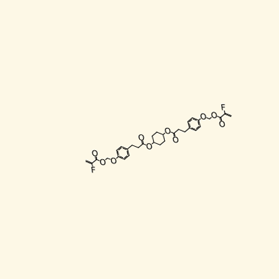 C=C(F)C(=O)OCOc1ccc(CCC(=O)OC2CCC(OC(=O)CCc3ccc(OCOC(=O)C(=C)F)cc3)CC2)cc1